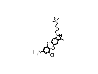 Cc1nn(COCC[Si](C)(C)C)c2ccc(Oc3c(Cl)cc(N)cc3Cl)cc12